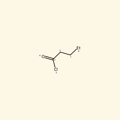 [CH2]CCCC(=O)Cl